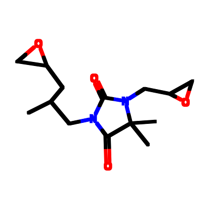 CC(CC1CO1)CN1C(=O)N(CC2CO2)C(C)(C)C1=O